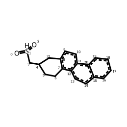 O=[SH](=O)CC1CCc2c(ccc3c2ccc2ccccc23)C1